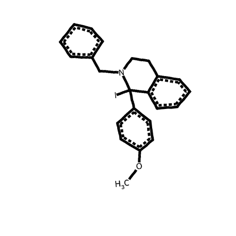 COc1ccc(C2(I)c3ccccc3CCN2Cc2ccccc2)cc1